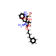 CC(C)(C)C(Cc1ccccc1)(N(N)C(=O)OCCCCc1ccccc1)C(O)(O)C(N)=S=O